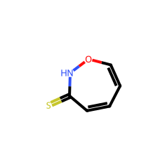 S=C1C=CC=CON1